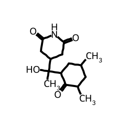 CC1CC(C)C(=O)C(C(C)(O)C2CC(=O)NC(=O)C2)C1